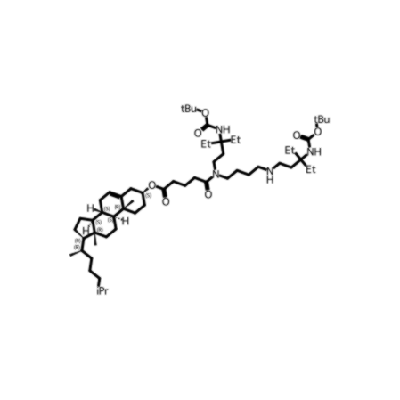 CCC(CC)(CCNCCCCN(CCC(CC)(CC)NC(=O)OC(C)(C)C)C(=O)CCCC(=O)O[C@H]1CC[C@@]2(C)C(=CC[C@H]3[C@@H]4CC[C@H]([C@H](C)CCCC(C)C)[C@@]4(C)CC[C@@H]32)C1)NC(=O)OC(C)(C)C